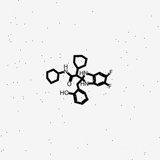 O=C(NC1CCCCC1)C(C1CCCCC1)C1(Cc2ccccc2O)Nc2cc(F)c(F)cc2N1